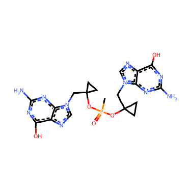 CP(=O)(OC1(Cn2cnc3c(O)nc(N)nc32)CC1)OC1(Cn2cnc3c(O)nc(N)nc32)CC1